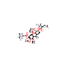 C=C(C)C(=O)Oc1ccc(C(CC)c2ccc(OC(=O)C(=C)C)c(OCC)c2OCC)c(OCC)c1OCC